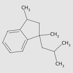 CC(C)CC1(C)CC(C)c2ccccc21